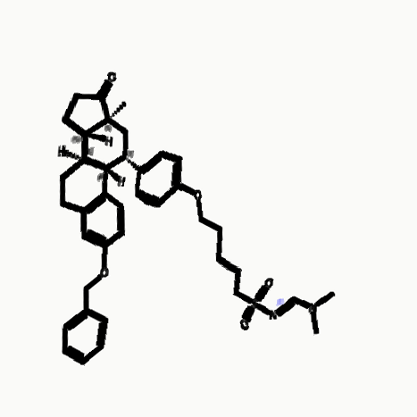 CN(C)/C=N/S(=O)(=O)CCCCCOc1ccc([C@H]2C[C@]3(C)C(=O)CC[C@H]3[C@@H]3CCc4cc(OCc5ccccc5)ccc4[C@H]32)cc1